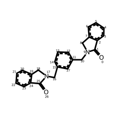 O=C1c2ccccc2CN1Cc1cccc(CN2Cc3ccccc3C2=O)c1